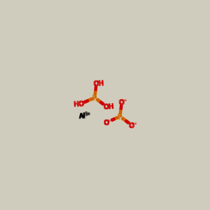 OP(O)O.[Al+3].[O-]P([O-])[O-]